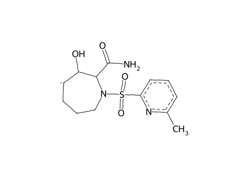 Cc1cccc(S(=O)(=O)N2CCC[CH]C(O)C2C(N)=O)n1